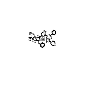 CC(C)C[C@H](NC(=O)[C@H](Cc1ccccc1)NC(=O)[C@@H](CC(C)C)NC(=O)[C@H](CCc1ccccc1)NC(=O)CN1CCOCC1)C(=O)[C@]1(C)CO1